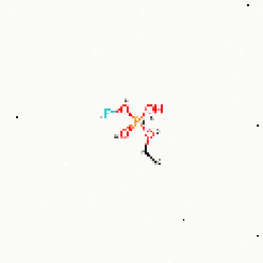 CCOP(=O)(O)OF